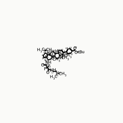 C=C(C)[C@@H]1CC[C@]2(CNC(=O)C(F)(F)C(=O)NCCN(C)C)CC[C@]3(C)[C@H](CC[C@@H]4[C@@]5(C)CC=C(c6ccc(C(=O)OC(C)(C)C)cc6)C(C)(C)[C@@H]5CC[C@]43C)[C@@H]12